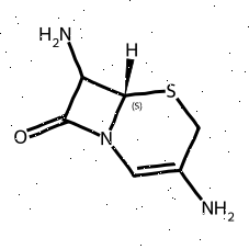 NC1=CN2C(=O)C(N)[C@@H]2SC1